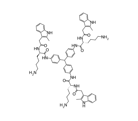 Cc1[nH]c2ccccc2c1CC(=O)N[C@H](CCCCN)C(=O)Nc1ccc(C(c2ccc(NC(=O)[C@@H](CCCCN)NC(=O)Cc3c(C)[nH]c4ccccc34)cc2)c2ccc(NC(=O)[C@@H](CCCCN)NC(=O)Cc3c(C)[nH]c4ccccc34)cc2)cc1